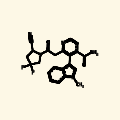 Cn1cc(-c2c(C(N)=O)ccnc2CC(=O)N2CC(F)(F)CC2C#N)c2ccccc21